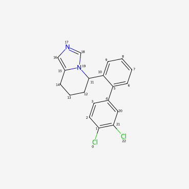 Clc1ccc(-c2ccccc2C2CCCc3cncn32)cc1Cl